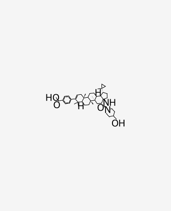 CC1([C@@H]2CC[C@]3(NC(=O)N4CCC(CO)CC4)CC[C@]4(C)[C@H](CCC5[C@@]6(C)CC=C(c7ccc(C(=O)O)cc7)C(C)(C)[C@@H]6CC[C@]54C)C23)CC1